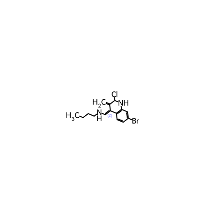 C=C1/C(=C\NCCCC)c2ccc(Br)cc2NC1Cl